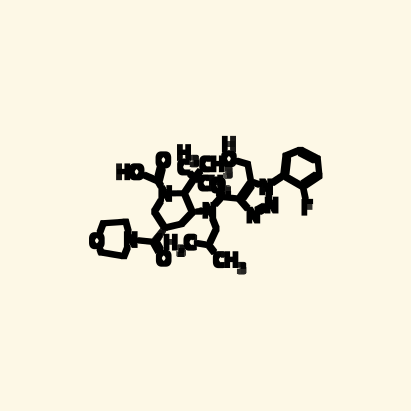 CC(C)CN(C(=O)c1nnn(-c2ccccc2F)c1CO)[C@H]1C[C@@H](C(=O)N2CCOCC2)CN(C(=O)O)C1C(C)(C)C